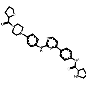 O=C(Nc1ccc(-c2ccnc(Nc3ccc(N4CCN(C(=O)C5CCCO5)CC4)cc3)n2)cc1)[C@H]1CCCN1